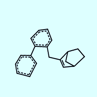 C1=C(Cc2ccccc2-c2ccccc2)C2CCC1C2